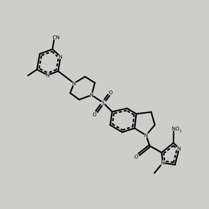 Cc1cc(C#N)nc(N2CCN(S(=O)(=O)c3ccc4c(c3)CCN4C(=O)c3c([N+](=O)[O-])ncn3C)CC2)n1